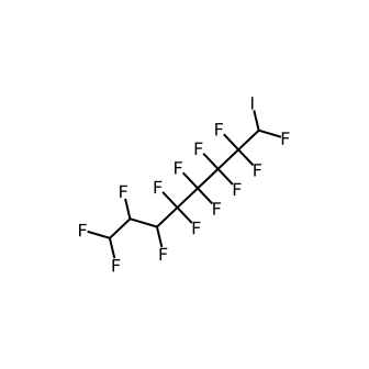 FC(F)C(F)C(F)C(F)(F)C(F)(F)C(F)(F)C(F)(F)C(F)I